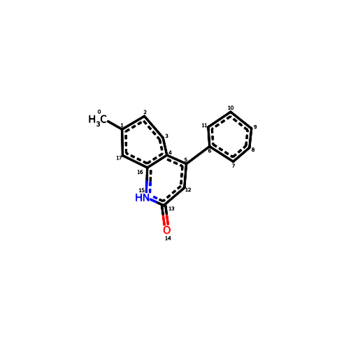 Cc1ccc2c(-c3ccccc3)cc(=O)[nH]c2c1